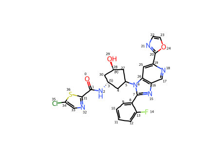 O=C(N[C@H]1CC(n2c(-c3ccccc3F)nc3cnc(-c4ncco4)cc32)C[C@H](O)C1)c1ncc(Cl)s1